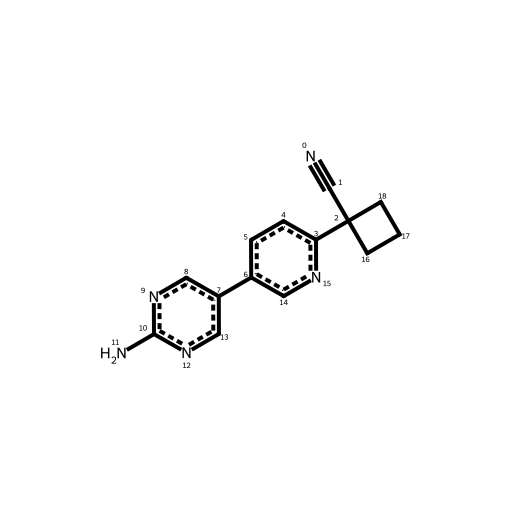 N#CC1(c2ccc(-c3cnc(N)nc3)cn2)CCC1